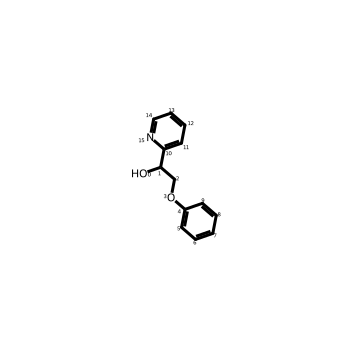 OC(COc1ccccc1)c1ccccn1